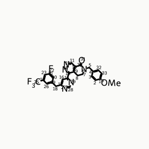 COc1ccc(CN2CCc3c(cnnc3-c3cc(Cc4cc(F)cc(C(F)(F)F)c4)ncn3)C2=O)cc1